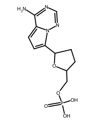 Nc1ncnn2c(C3CCC(COP(=O)(O)O)O3)ccc12